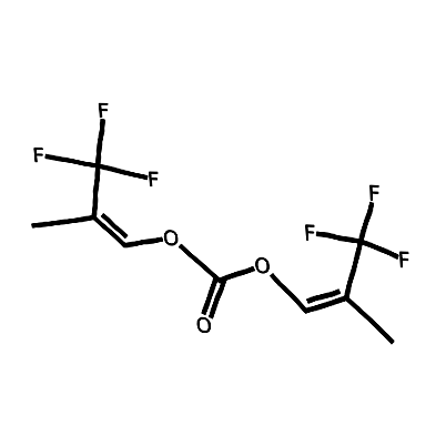 CC(=COC(=O)OC=C(C)C(F)(F)F)C(F)(F)F